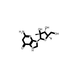 C[C@]1(O)[C@H](N2CNC3=C2N=C(N)CC3=O)O[C@](F)(CO)[C@H]1O